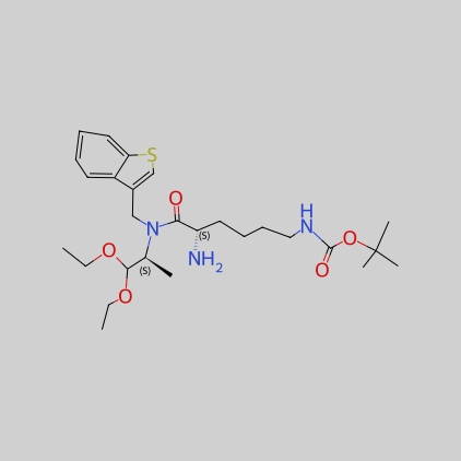 CCOC(OCC)[C@H](C)N(Cc1csc2ccccc12)C(=O)[C@@H](N)CCCCNC(=O)OC(C)(C)C